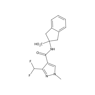 Cn1cc(C(=O)NC2(C(=O)O)Cc3ccccc3C2)c(C(F)F)n1